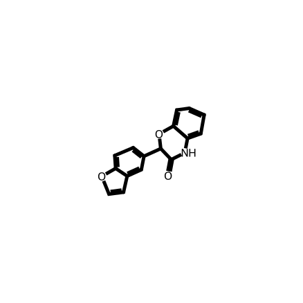 O=C1Nc2ccccc2OC1c1ccc2occc2c1